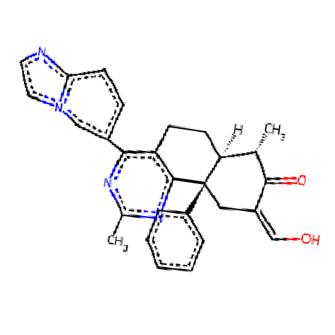 Cc1nc(-c2ccc3nccn3c2)c2c(n1)[C@@]1(c3ccccc3)CC(=CO)C(=O)[C@@H](C)[C@@H]1CC2